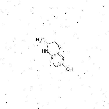 CC1COc2cc(O)ccc2N1